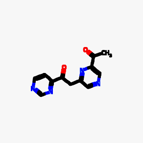 CC(=O)c1cncc(CC(=O)c2ccncn2)n1